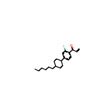 C=CC(=O)c1ccc(C2CCC(CCCCCC)CC2)cc1F